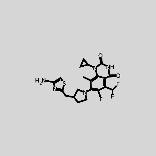 Cc1c(N2CCC(Cc3nc(N)cs3)C2)c(F)c(C(F)F)c2c(=O)[nH]c(=O)n(C3CC3)c12